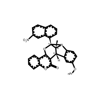 CCCOc1ccc2c(c1)[C@@H]1c3c(c4ccccc4oc3=O)O[C@]3(c4cccc5ccc([N+](=O)[O-])cc45)N2[C@]13C